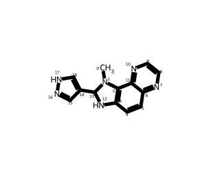 CN1c2c(ccc3nccnc23)NC1c1cn[nH]c1